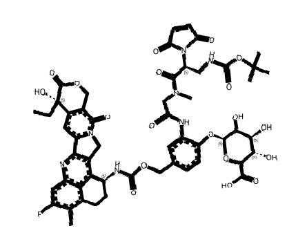 CC[C@@]1(O)C(=O)OCc2c1cc1n(c2=O)Cc2c-1nc1cc(F)c(C)c3c1c2[C@@H](NC(=O)OCc1ccc(O[C@@H]2OC(C(=O)O)[C@@H](O)[C@H](O)C2O)c(NC(=O)CN(C)C(=O)[C@H](CNC(=O)OC(C)(C)C)N2C(=O)C=CC2=O)c1)CC3